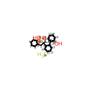 CC(Cc1ccccc1)(c1ccccc1-c1ccccc1O)S(=O)(=O)O.S